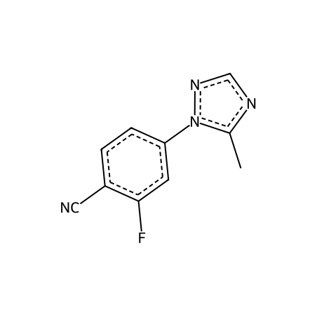 Cc1ncnn1-c1ccc(C#N)c(F)c1